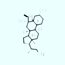 C=C[C@]1(O)C[C@@H]2[C@H](CC[C@]3(C)[C@@H]([C@H](C)CC#N)CC[C@@H]23)[C@@]2(C)CC[C@@H](O)C[C@H]21